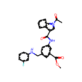 COC(=O)c1cc(CNc2cccc(F)c2)cc(NC(=O)c2cn(C(C)=O)c3ccccc23)c1